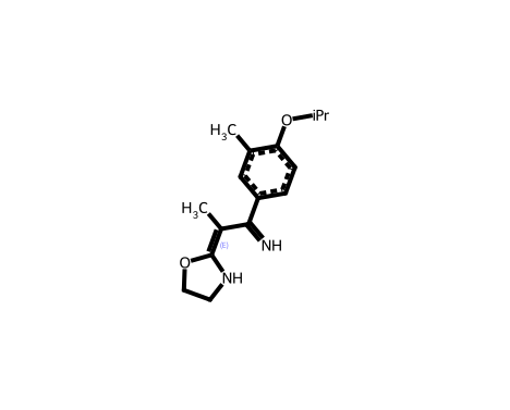 C/C(C(=N)c1ccc(OC(C)C)c(C)c1)=C1/NCCO1